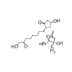 C=C(CCC)C(C)(O)CC=C[C@H]1[C@H](O)CC(=O)[C@@H]1CCCCCCC(=O)CO